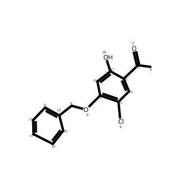 CC(=O)c1cc(Cl)c(OCc2ccccc2)cc1O